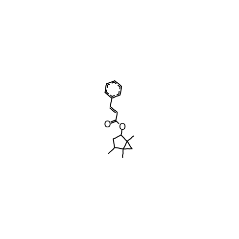 CC1CC(OC(=O)/C=C/c2ccccc2)C2(C)CC12C